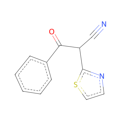 N#CC(C(=O)c1ccccc1)c1nccs1